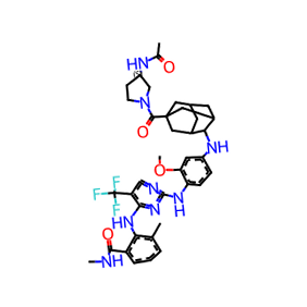 CNC(=O)c1cccc(C)c1Nc1nc(Nc2ccc(NC3C4CC5CC3CC(C(=O)N3CC[C@H](NC(C)=O)C3)(C5)C4)cc2OC)ncc1C(F)(F)F